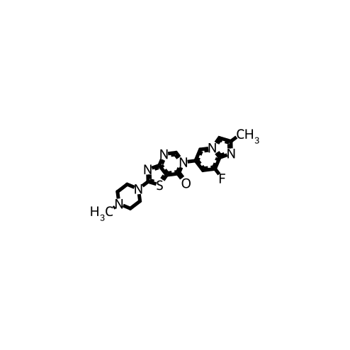 Cc1cn2cc(-n3cnc4nc(N5CCN(C)CC5)sc4c3=O)cc(F)c2n1